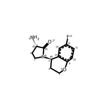 N[C@H]1CCN([C@@H]2CCOc3ccc(F)cc32)C1=O